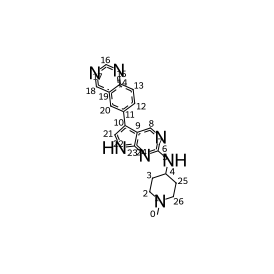 CN1CCC(Nc2ncc3c(-c4ccc5ncncc5c4)c[nH]c3n2)CC1